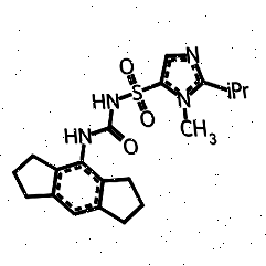 CC(C)c1ncc(S(=O)(=O)NC(=O)Nc2c3c(cc4c2CCC4)CCC3)n1C